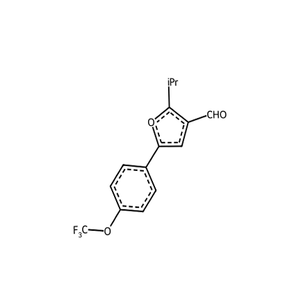 CC(C)c1oc(-c2ccc(OC(F)(F)F)cc2)cc1C=O